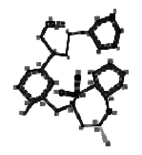 CCOC(=O)CC(CCc1cccnc1)c1ccc(C)c(CN2C[C@@H](C)Oc3ccccc3S2(=O)=O)c1